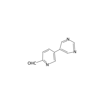 O=Cc1ccc(-c2cncnc2)cn1